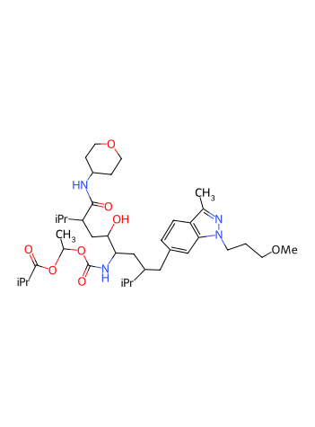 COCCCn1nc(C)c2ccc(CC(CC(NC(=O)OC(C)OC(=O)C(C)C)C(O)CC(C(=O)NC3CCOCC3)C(C)C)C(C)C)cc21